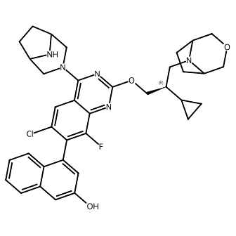 Oc1cc(-c2c(Cl)cc3c(N4CC5CCC(C4)N5)nc(OC[C@@H](CN4C5CCC4COC5)C4CC4)nc3c2F)c2ccccc2c1